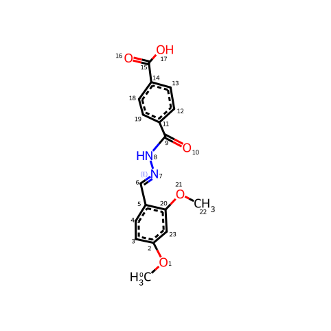 COc1ccc(/C=N/NC(=O)c2ccc(C(=O)O)cc2)c(OC)c1